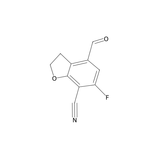 N#Cc1c(F)cc(C=O)c2c1OCC2